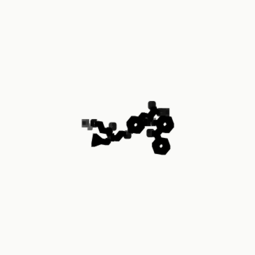 CCCC(=O)N(CCOc1ccc(C[C@H](Nc2ccccc2C(=O)c2ccccc2)C(=O)O)cc1)CC1CC1